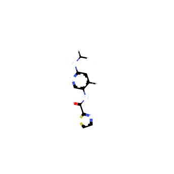 CC(Nc1cc(C(F)(F)F)c(NC(=O)c2nccs2)cn1)C(F)(F)F